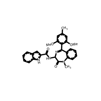 COc1cc(C)cc(OC)c1C1=NC(NC(=O)c2cc3ccccc3[nH]2)C(=O)N(C)c2ccccc21